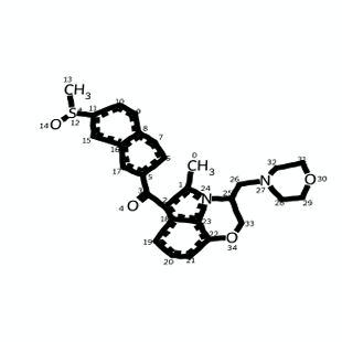 Cc1c(C(=O)c2ccc3ccc([S+](C)[O-])cc3c2)c2cccc3c2n1C(CN1CCOCC1)CO3